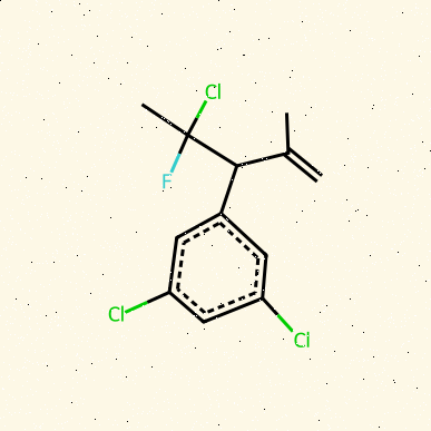 C=C(C)C(c1cc(Cl)cc(Cl)c1)C(C)(F)Cl